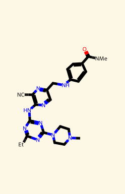 CCc1nc(Nc2ncc(CNc3ccc(C(=O)NC)cc3)nc2C#N)nc(N2CCN(C)CC2)n1